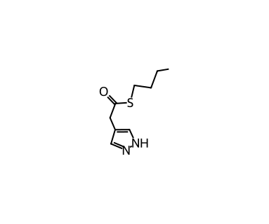 CCCCSC(=O)Cc1cn[nH]c1